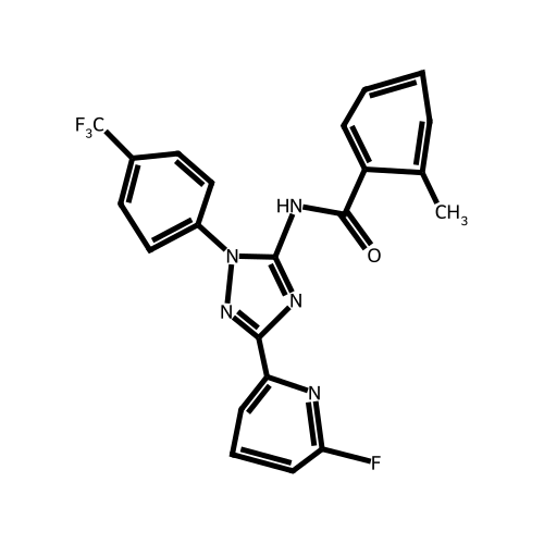 Cc1ccccc1C(=O)Nc1nc(-c2cccc(F)n2)nn1-c1ccc(C(F)(F)F)cc1